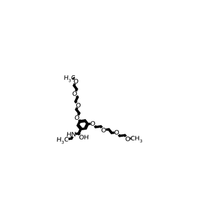 CCNC(O)c1cc(OCCOCCOCCOC)cc(OCCOCCOCCOC)c1